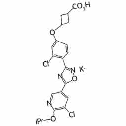 CC(C)Oc1ncc(-c2nc(-c3ccc(OC4CC(C(=O)O)C4)cc3Cl)no2)cc1Cl.[K]